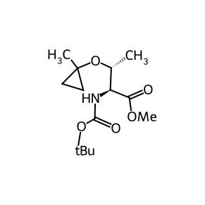 COC(=O)[C@@H](NC(=O)OC(C)(C)C)[C@@H](C)OC1(C)CC1